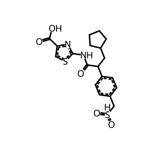 O=C(O)c1csc(NC(=O)C(CC2CCCC2)c2ccc(C[SH](=O)=O)cc2)n1